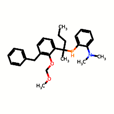 CCCC(C)(Pc1ccccc1N(C)C)c1cccc(Cc2ccccc2)c1OCOC